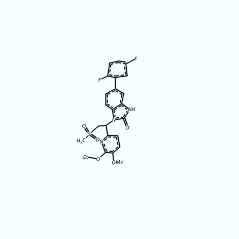 CCOc1nc(C(CS(C)(=O)=O)n2c(=O)[nH]c3cc(-c4cc(F)ccc4F)ccc32)ccc1OC